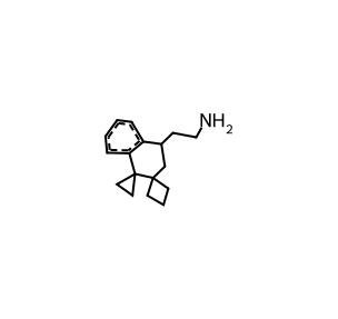 NCCC1CC2(CCC2)C2(CC2)c2ccccc21